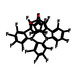 Fc1c(F)c(F)c(B2c3c(F)c(F)c(F)c(F)c3-c3c(F)c(F)c(F)c(F)c32)c(B2c3c(F)c(F)c(F)c(F)c3-c3c(F)c(F)c(F)c(F)c32)c1F